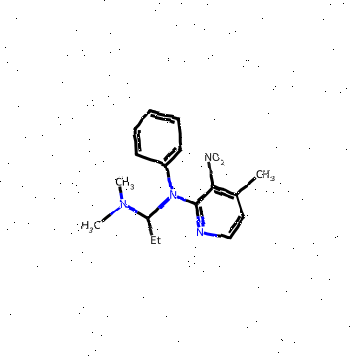 CCC(N(C)C)N(c1ccccc1)c1nccc(C)c1[N+](=O)[O-]